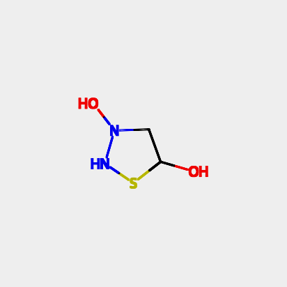 OC1CN(O)NS1